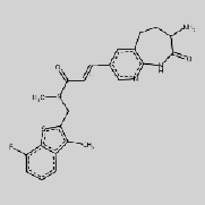 Cc1c(CN(C)C(=O)/C=C/c2cnc3c(c2)CCC(N)C(=O)N3)sc2c(F)cccc12